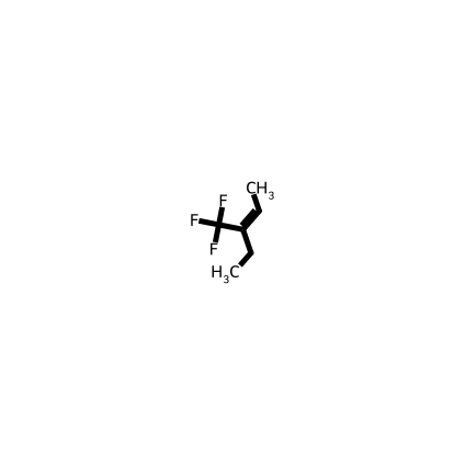 CC=C(CC)C(F)(F)F